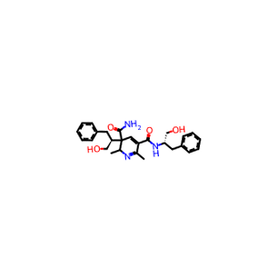 CC1=NC(C)C(C(N)=O)([C@@H](CO)Cc2ccccc2)C=C1C(=O)N[C@H](CO)Cc1ccccc1